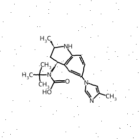 Cc1cn(-c2ccc3c(c2)[C@@H](N(C(=O)O)C(C)(C)C)C[C@@H](C)N3)cn1